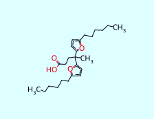 CCCCCCc1ccc(C(C)(CCC(=O)O)c2ccc(CCCCCC)o2)o1